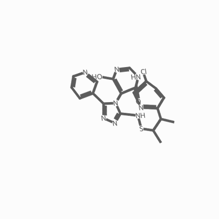 CC(SNc1nnc(-c2cccnc2)n1-c1c(O)nc[nH]c1=O)C(C)c1ccc(Cl)cn1